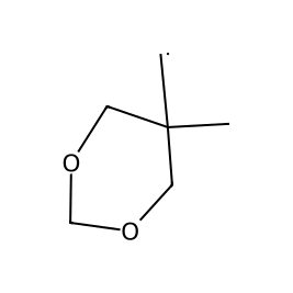 [CH2]C1(C)COCOC1